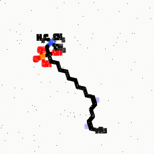 CCCC/C=C\CC/C=C\CCCCCCCCCC(O)(C[N+](C)(C)C)P(=O)(O)O